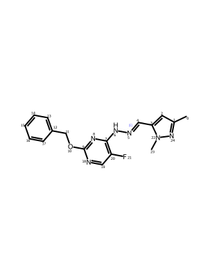 Cc1cc(/C=N/Nc2nc(OCc3ccccc3)ncc2F)n(C)n1